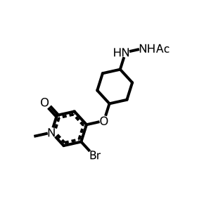 CC(=O)NNC1CCC(Oc2cc(=O)n(C)cc2Br)CC1